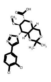 CO[C@@H]1[C@@H](n2cc(-c3ccc(Cl)c(Cl)c3)nn2)[C@H]2OC(C)(C)OC[C@H]2O[C@H]1C(=O)O